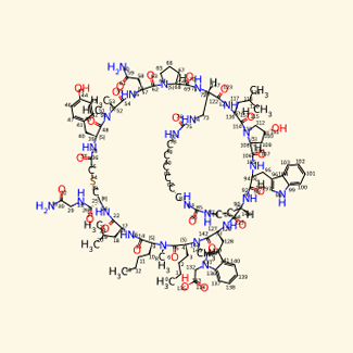 CCCC[C@H]1C(=O)N(C)[C@@H](CCCC)C(=O)N[C@@H](CC(C)C)C(=O)N[C@H](C(=O)NCC(N)=O)CSCC(=O)N[C@@H](Cc2ccc(O)cc2)C(=O)N(C)[C@@H](C)C(=O)N[C@@H](CC(N)=O)C(=O)N2CCC[C@H]2C(=O)N[C@H]2CNC(=O)NCCCCCCNC(=O)NCC[C@H](NC(=O)[C@H](Cc3c[nH]c4ccccc34)NC(=O)[C@@H]3C[C@@H](O)CN3C(=O)[C@H](CC(C)C)NC2=O)C(=O)N[C@@H](Cc2cn(CC(=O)O)c3ccccc23)C(=O)N1C